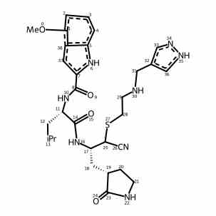 COc1cccc2[nH]c(C(=O)N[C@@H](CC(C)C)C(=O)N[C@@H](C[C@@H]3CCNC3=O)C(C#N)SCCNCc3cn[nH]c3)cc12